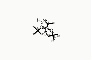 CC(N)P(=O)(OC(C)(C)C)OC(C)(C)C